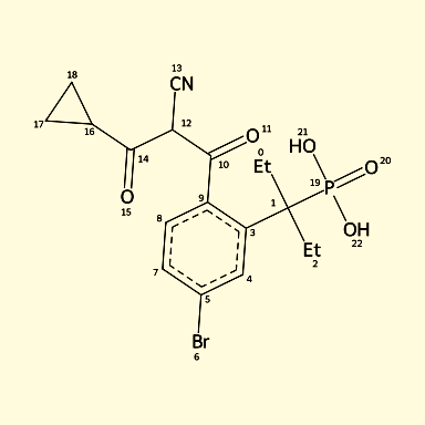 CCC(CC)(c1cc(Br)ccc1C(=O)C(C#N)C(=O)C1CC1)P(=O)(O)O